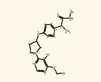 CC(=O)COc1ncnc(N2CCC(Oc3ccc(C(C)C(=O)NC(C)C)cc3)C2)c1Cl